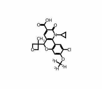 [2H]C([2H])([2H])Oc1cc2c(cc1Cl)-c1c(cc(C(=O)O)c(=O)n1C1CC1)C(C1(C)COC1)O2